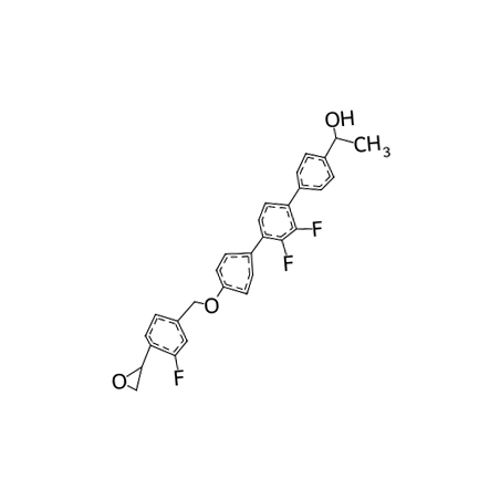 CC(O)c1ccc(-c2ccc(-c3ccc(OCc4ccc(C5CO5)c(F)c4)cc3)c(F)c2F)cc1